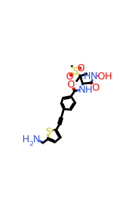 CC(C)(C(NC(=O)c1ccc(C#Cc2ccc(CN)s2)cc1)C(=O)NO)S(C)(=O)=O